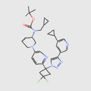 CC(C)(C)OC(=O)N(CC1CC1)[C@@H]1CCCN(c2ccc(C3(n4cc(-c5cncc(C6CC6)c5)nn4)CC(F)(F)C3)nc2)C1